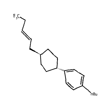 CCCCc1ccc([C@H]2CC[C@H](CC=CCC(F)(F)F)CC2)cc1